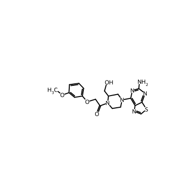 COc1cccc(OCC(=O)N2CCN(c3nc(N)nc4scnc34)CC2CO)c1